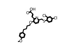 COc1ccc(CCCCOc2ccc(CSc3ccc(Cl)cc3Cl)nc2C=CC(=O)O)cc1